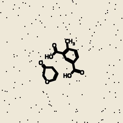 Cc1ccc(C(=O)O)cc1C(=O)O.O=C1CC=COC1